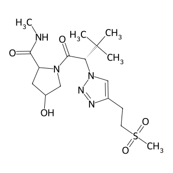 CNC(=O)C1CC(O)CN1C(=O)[C@@H](n1cc(CCS(C)(=O)=O)nn1)C(C)(C)C